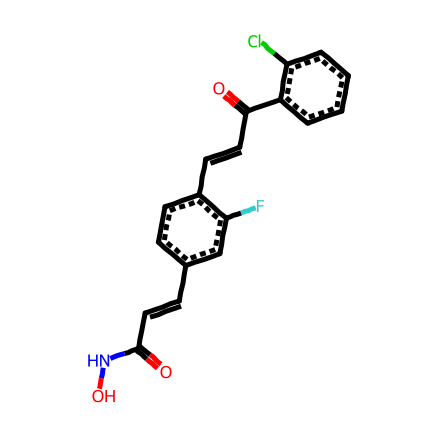 O=C(C=Cc1ccc(C=CC(=O)c2ccccc2Cl)c(F)c1)NO